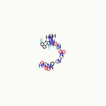 C#Cc1c(F)ccc2cccc(-c3ccc4c(N5C[C@H]6CC[C@@H](C5)N6)nc(OC[C@@]56CCCN5[C@H](COC(=O)N5CCC(CN7CCC(c8ccc9c(c8)n(C)c(=O)n9C8CCC(=O)NC8=O)CC7)CC5)CC6)nc4c3F)c12